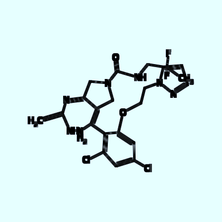 C=C(N)/N=C1/CN(C(=O)NCC(C)(F)F)C/C1=C(/N)c1c(Cl)cc(Cl)cc1OCCn1cccn1